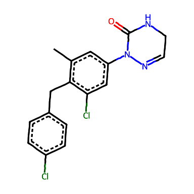 Cc1cc(N2N=CCNC2=O)cc(Cl)c1Cc1ccc(Cl)cc1